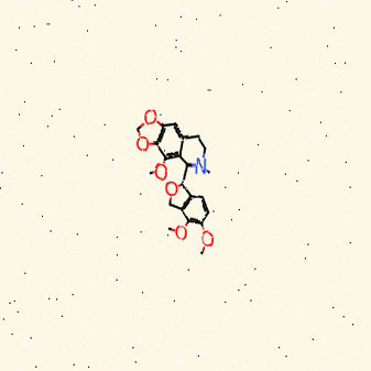 COc1ccc2c(c1OC)COC2C1c2c(cc3c(c2OC)OCO3)CCN1C